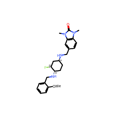 COc1ccccc1CN[C@H]1CC[C@H](NCc2ccc3c(c2)n(C)c(=O)n3C)C[C@@H]1F